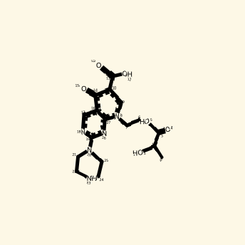 CC(O)C(=O)O.CCn1cc(C(=O)O)c(=O)c2cnc(N3CCNCC3)nc21